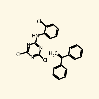 C=C(c1ccccc1)c1ccccc1.Clc1nc(Cl)nc(Nc2ccccc2Cl)n1